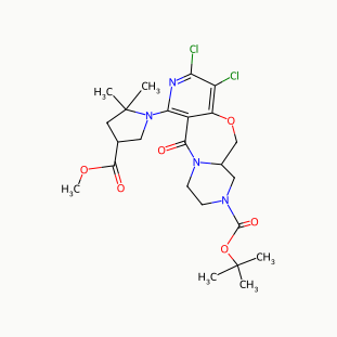 COC(=O)C1CN(c2nc(Cl)c(Cl)c3c2C(=O)N2CCN(C(=O)OC(C)(C)C)CC2CO3)C(C)(C)C1